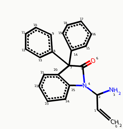 C=CC(N)N1C(=O)C(c2ccccc2)(c2ccccc2)c2ccccc21